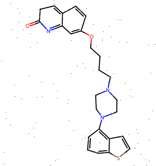 O=C1CC=c2ccc(OCCCCN3CCN(c4cccc5sccc45)CC3)cc2=N1